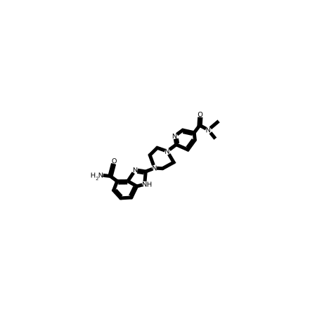 CN(C)C(=O)c1ccc(N2CCN(c3nc4c(C(N)=O)cccc4[nH]3)CC2)nc1